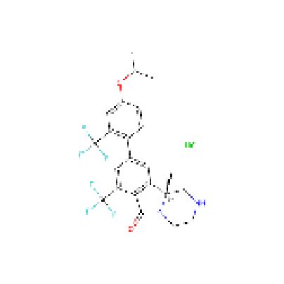 CC(C)Oc1ccc(-c2cc3c(c(C(F)(F)F)c2)C(=O)N2CCNC[C@@H]32)c(C(F)(F)F)c1.Cl